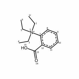 CC[N+](CC)(CC)c1ccccc1C(=O)O